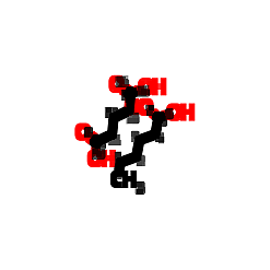 CCCCCC(O)O.O=C(O)CCCC(=O)O